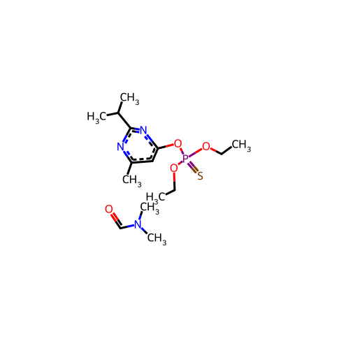 CCOP(=S)(OCC)Oc1cc(C)nc(C(C)C)n1.CN(C)C=O